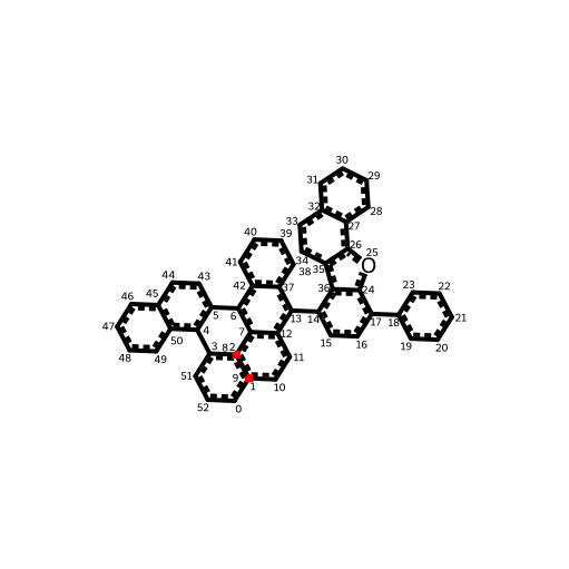 c1ccc(-c2c(-c3c4ccccc4c(-c4ccc(-c5ccccc5)c5oc6c7ccccc7ccc6c45)c4ccccc34)ccc3ccccc23)cc1